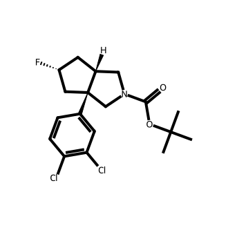 CC(C)(C)OC(=O)N1C[C@H]2C[C@@H](F)C[C@@]2(c2ccc(Cl)c(Cl)c2)C1